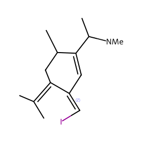 CNC(C)C1=C/C(=C/I)C(=C(C)C)CC1C